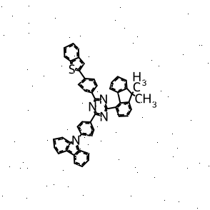 CC1(C)c2ccccc2-c2c(-c3nc(-c4ccc(-c5cc6ccccc6s5)cc4)nc(-c4ccc(-n5c6ccccc6c6ccccc65)cc4)n3)cccc21